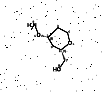 NO[C@@H]1CCO[C@H](CO)C1